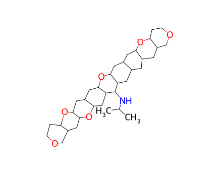 CC(C)NC1C2CC3CC4CC5COCCC5OC4CC3CC2OC2CC3CC4OC5CCOCC5CC4OC3CC21